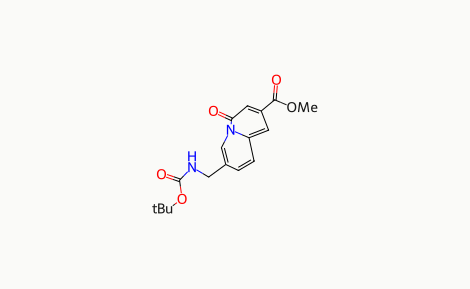 COC(=O)c1cc(=O)n2cc(CNC(=O)OC(C)(C)C)ccc2c1